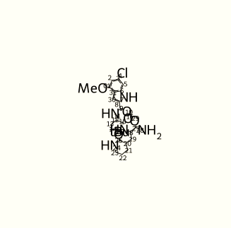 COc1cc(Cl)cc2[nH]c(C(=O)NC(CC(C)(C)C)C(=O)NC(CC3CCCNC3=O)C(N)=O)cc12